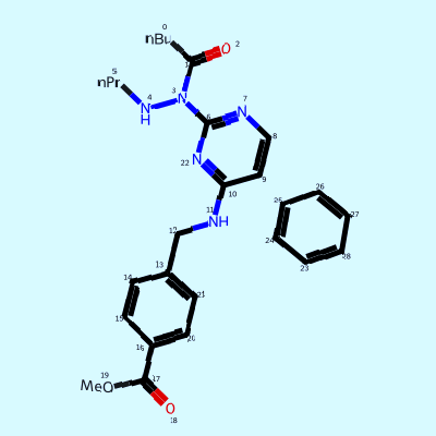 CCCCC(=O)N(NCCC)c1nccc(NCc2ccc(C(=O)OC)cc2)n1.c1ccccc1